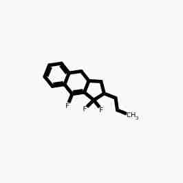 CCCC1CC2Cc3ccccc3C(F)=C2C1(F)F